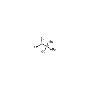 CCCC[N+](CCCC)(CCCC)C(CC)CC